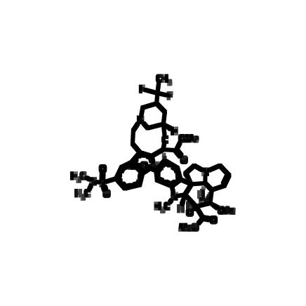 CC[C@]12C=CCN3CC[C@@]4(c5cc([C@@]6(C(=O)OC)C[C@H]7CC(C(C)(F)F)CN(CCc8c6[nH]c6ccc(S(=O)(=O)N(C)C)cc86)C7)c(OC)cc5N(C)[C@H]4[C@@](O)(C(=O)OC)[C@@H]1OC(C)=O)[C@@H]32